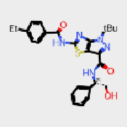 CCc1ccc(C(=O)Nc2nc3c(s2)c(C(=O)N[C@H](CO)c2ccccc2)nn3C(C)(C)C)cc1